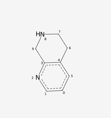 c1cnc2c(c1)CCNC2